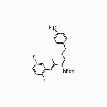 Bc1ccc(CCCC(CCCCC)/C(C)=C/c2cc(F)ccc2I)cc1